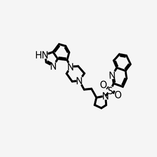 O=S(=O)(c1ccc2ccccc2n1)N1CCCC1CCN1CCN(c2cccc3[nH]cnc23)CC1